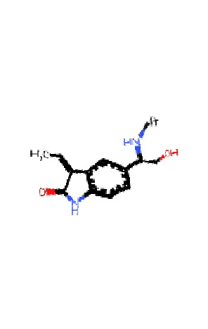 C/C=C1\C(=O)Nc2ccc([C@H](CO)NC(C)C)cc21